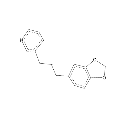 [CH](Cc1cccnc1)Cc1ccc2c(c1)OCO2